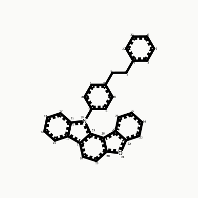 c1ccc(CCc2ccc(-n3c4ccccc4c4ccc5oc6ccccc6c5c43)cc2)cc1